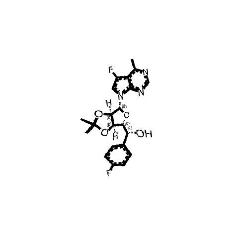 Cc1ncnc2c1c(F)cn2[C@@H]1O[C@H]([C@H](O)c2ccc(F)cc2)[C@H]2OC(C)(C)O[C@H]21